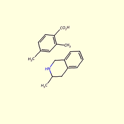 CC1Cc2ccccc2CN1.Cc1ccc(C(=O)O)c(C)c1